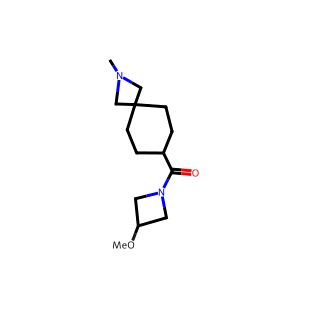 COC1CN(C(=O)C2CCC3(CC2)CN(C)C3)C1